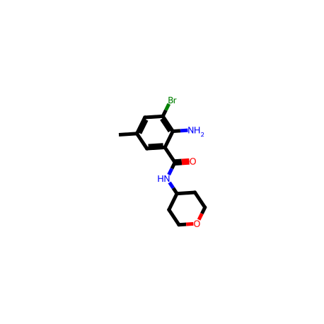 Cc1cc(Br)c(N)c(C(=O)NC2CCOCC2)c1